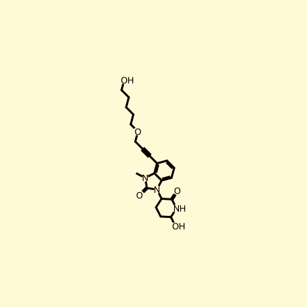 Cn1c(=O)n(C2CCC(O)NC2=O)c2cccc(C#CCOCCCCCO)c21